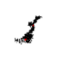 C=CC1=C(C=C)C2(c3cc(-c4ccc(-c5cccc(-c6cc(-c7ccc(-c8ccccc8)cc7)nc(-c7ccccc7)n6)c5)cc4)ccc31)c1ccccc1-c1ccccc12